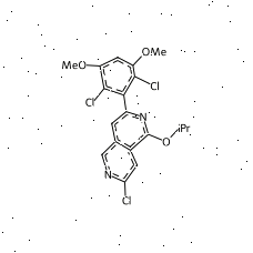 COc1cc(OC)c(Cl)c(-c2cc3cnc(Cl)cc3c(OC(C)C)n2)c1Cl